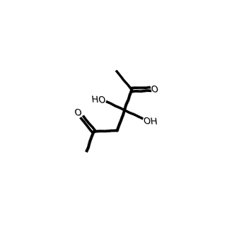 CC(=O)CC(O)(O)C(C)=O